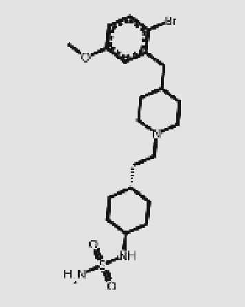 COc1ccc(Br)c(CC2CCN(CC[C@H]3CC[C@H](NS(N)(=O)=O)CC3)CC2)c1